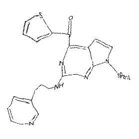 CCCCCn1ccc2c(C(=O)c3cccs3)nc(NCc3cccnc3)nc21